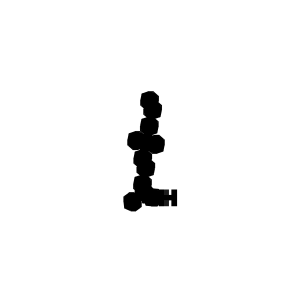 C1=Cc2c(c3cc(-c4ccc5cc(-c6c7ccccc7c(-c7ccc(-c8ccc9ccccc9c8)cc7)c7ccccc67)ccc5c4)ccc3n2-c2ccccc2)CN1